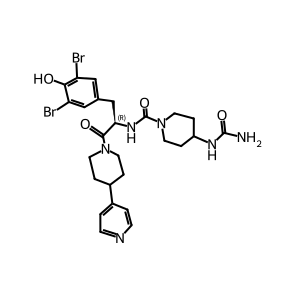 NC(=O)NC1CCN(C(=O)N[C@H](Cc2cc(Br)c(O)c(Br)c2)C(=O)N2CCC(c3ccncc3)CC2)CC1